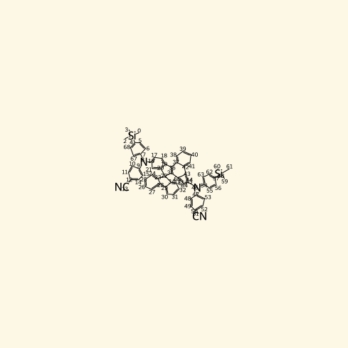 C[Si](C)(C)c1ccc(N(c2ccc(C#N)cc2)c2ccc3c(c2)C2(c4ccccc4-c4ccccc42)c2c-3c3ccccc3c3cc(N(c4ccc(C#N)cc4)c4ccc([Si](C)(C)C)cc4)ccc23)cc1